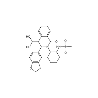 CS(=O)(=O)NC1CCCCC1N1C(=O)c2ccccc2C(C(O)O)C1c1ccc2c(c1)CCO2